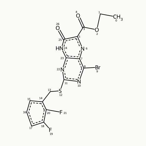 CCOC(=O)c1nc2c(Br)nc(SCc3cccc(F)c3F)nc2[nH]c1=O